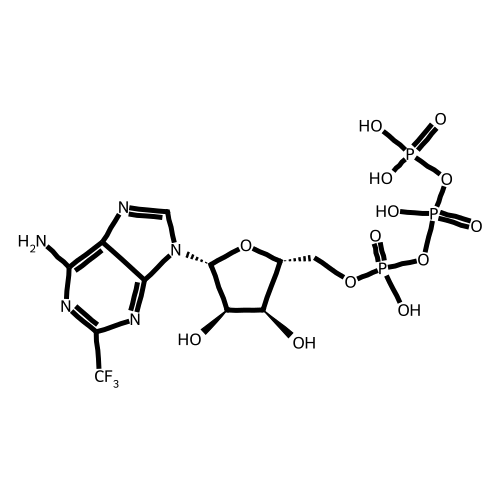 Nc1nc(C(F)(F)F)nc2c1ncn2[C@@H]1O[C@H](COP(=O)(O)OP(=O)(O)OP(=O)(O)O)[C@@H](O)[C@H]1O